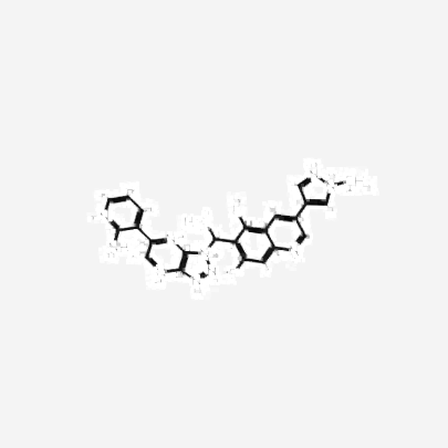 CC(c1c(F)cc2ncc(-c3cnn(C)c3)cc2c1F)n1nnc2ncc(-c3cccnc3N)nc21